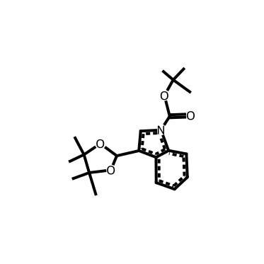 CC(C)(C)OC(=O)n1cc(C2OC(C)(C)C(C)(C)O2)c2ccccc21